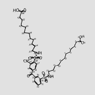 O=C(O)CCCCCCCCCCCNS(=O)(=O)c1cccc(C(=O)c2ccc(S(=O)(=O)NCCCCCCCCCCCC(=O)O)c(Cl)c2)c1